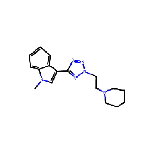 Cn1cc(-c2nnn(CCN3CCCCC3)n2)c2ccccc21